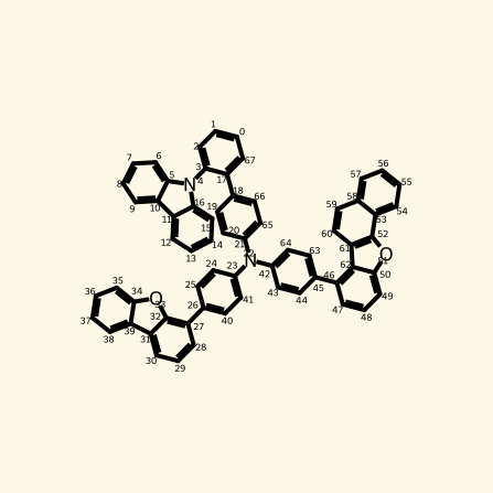 c1ccc(-n2c3ccccc3c3ccccc32)c(-c2ccc(N(c3ccc(-c4cccc5c4oc4ccccc45)cc3)c3ccc(-c4cccc5oc6c7ccccc7ccc6c45)cc3)cc2)c1